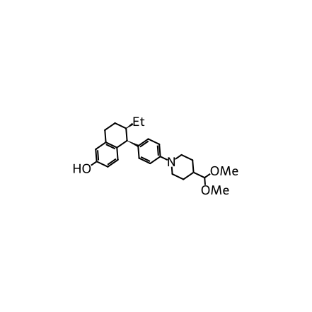 CC[C@@H]1CCc2cc(O)ccc2[C@@H]1c1ccc(N2CCC(C(OC)OC)CC2)cc1